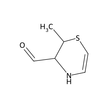 CC1SC=CNC1C=O